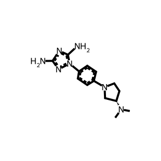 CN(C)[C@H]1CCN(c2ccc(-n3nc(N)nc3N)cc2)C1